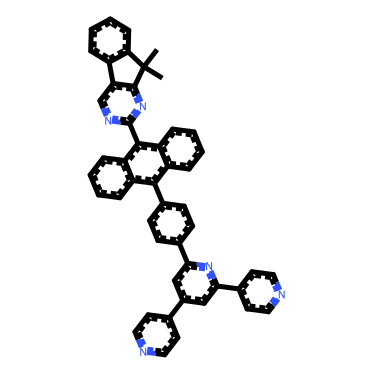 CC1(C)c2ccccc2-c2cnc(-c3c4ccccc4c(-c4ccc(-c5cc(-c6ccncc6)cc(-c6ccncc6)n5)cc4)c4ccccc34)nc21